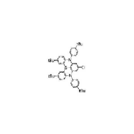 CC(C)(C)c1ccc(N2c3ccc(C(C)(C)C)cc3B3c4cc(C(C)(C)C)ccc4N(c4ccc(C(C)(C)C)cc4)c4cc(Cl)cc2c43)cc1